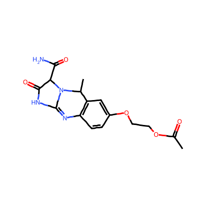 CC(=O)OCCOc1ccc2c(c1)C(C)N1C(=N2)NC(=O)C1C(N)=O